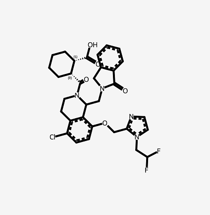 O=C(O)[C@H]1CCCC[C@H]1C(=O)N1CCc2c(Cl)ccc(OCc3nccn3CC(F)F)c2C1CN1Cc2ccccc2C1=O